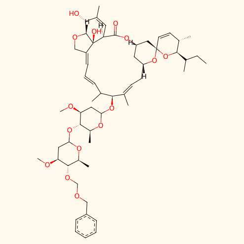 CCC(C)[C@H]1O[C@]2(C=C[C@@H]1C)C[C@@H]1C[C@@H](C/C=C(\C)[C@@H](OC3C[C@H](OC)[C@@H](OC4C[C@H](OC)[C@@H](OCOCc5ccccc5)[C@H](C)O4)[C@H](C)O3)C(C)/C=C/C=C3\CO[C@@H]4[C@H](O)C(C)=C[C@@H](C(=O)O1)[C@]34O)O2